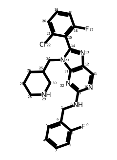 Fc1ccccc1CNc1ncc2nc(-c3c(F)cccc3Cl)n(CC3CCCNC3)c2n1